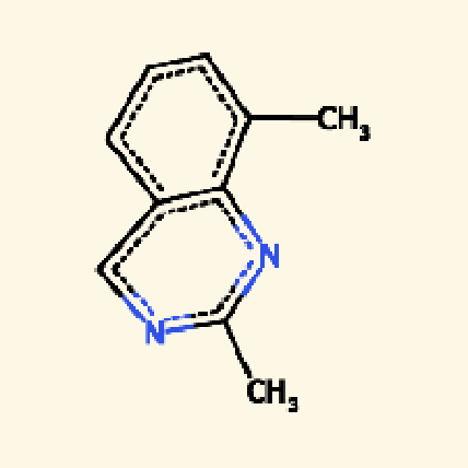 Cc1ncc2cccc(C)c2n1